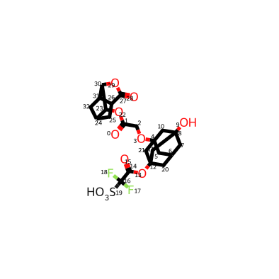 O=C(COC12CC3CC(O)(C1)CC(OC(=O)C(F)(F)S(=O)(=O)O)(C3)C2)OC1C2CC3C(=O)OC1C3C2